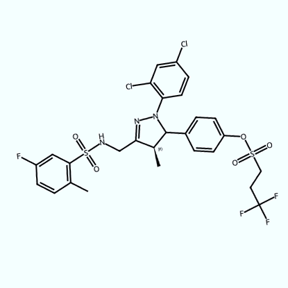 Cc1ccc(F)cc1S(=O)(=O)NCC1=NN(c2ccc(Cl)cc2Cl)C(c2ccc(OS(=O)(=O)CCC(F)(F)F)cc2)[C@H]1C